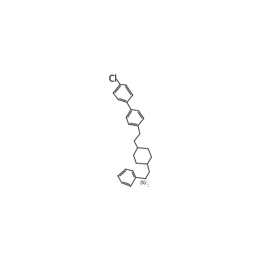 C[C@@H](CC1CCC(CCc2ccc(-c3ccc(Cl)cc3)cc2)CC1)c1ccccc1